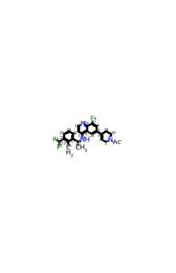 CC(=O)N1CC=C(c2cc(F)c3nccc(N[C@H](C)c4cccc(C(F)F)c4C)c3c2)CC1